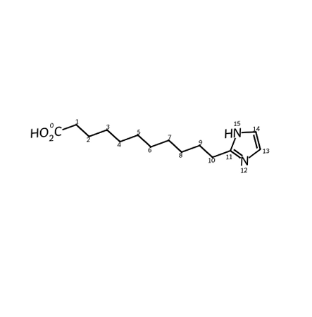 O=C(O)CCCCCCCCCCc1ncc[nH]1